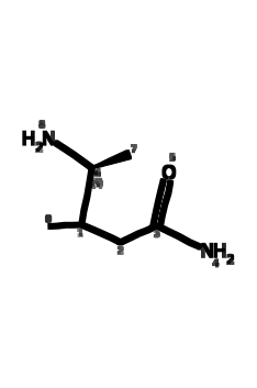 CC(CC(N)=O)[C@H](C)N